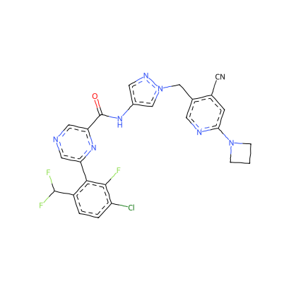 N#Cc1cc(N2CCC2)ncc1Cn1cc(NC(=O)c2cncc(-c3c(C(F)F)ccc(Cl)c3F)n2)cn1